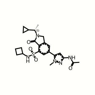 CC(=O)Nc1cc(-c2cc3c(c(S(=O)(=O)NC4CCC4)c2)C(=O)N([C@@H](C)C2CC2)C3)n(C)n1